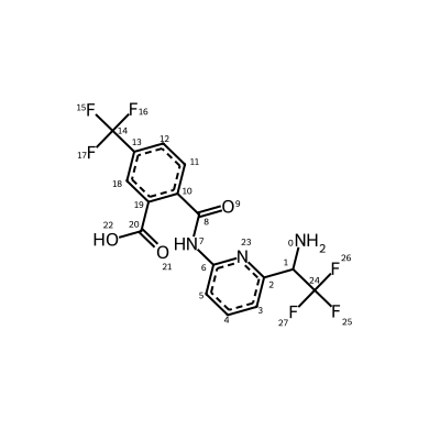 NC(c1cccc(NC(=O)c2ccc(C(F)(F)F)cc2C(=O)O)n1)C(F)(F)F